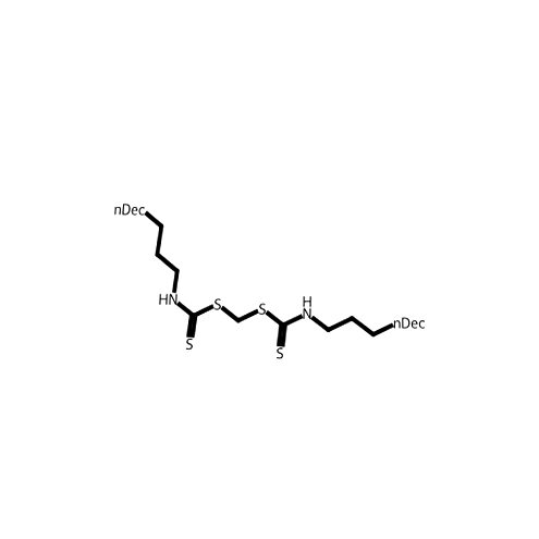 CCCCCCCCCCCCCNC(=S)SCSC(=S)NCCCCCCCCCCCCC